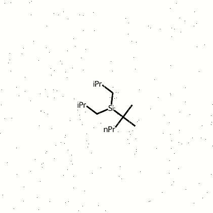 CCCC(C)(C)[Si](CC(C)C)CC(C)C